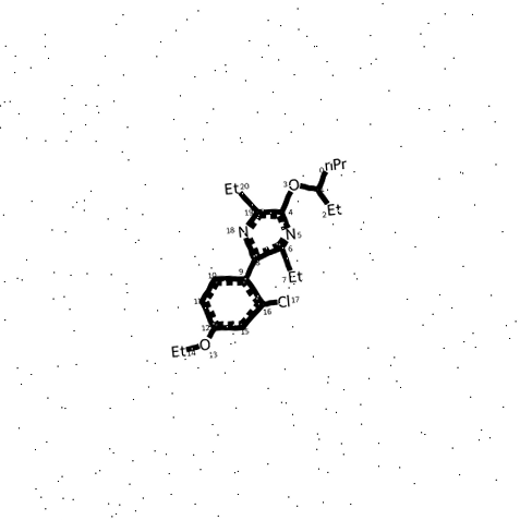 CCCC(CC)Oc1nc(CC)c(-c2ccc(OCC)cc2Cl)nc1CC